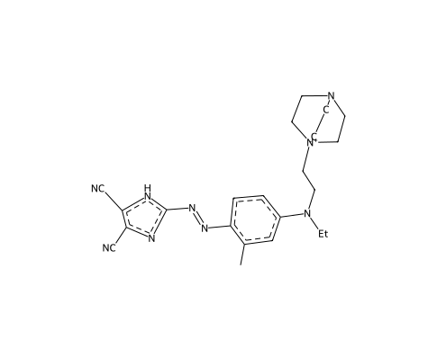 CCN(CC[N+]12CCN(CC1)CC2)c1ccc(N=Nc2nc(C#N)c(C#N)[nH]2)c(C)c1